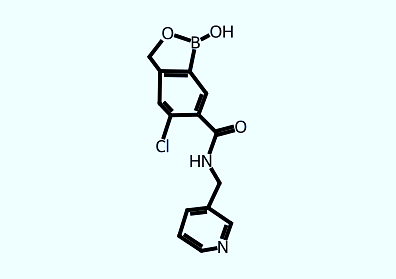 O=C(NCc1cccnc1)c1cc2c(cc1Cl)COB2O